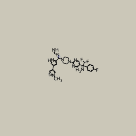 Cn1cc(-c2c[nH]c(/C(=N\C=N)N3CCN(c4ncc([C@@](N)(c5ccc(F)cc5)C(F)F)cn4)CC3)c2)cn1